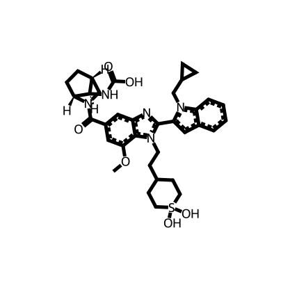 COc1cc(C(=O)N2C[C@H]3CC[C@@H]2[C@@H]3NC(=O)O)cc2nc(-c3cc4ccccc4n3CC3CC3)n(CCC3CCS(O)(O)CC3)c12